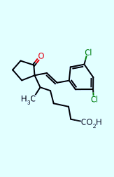 CC(CCCCC(=O)O)C1(/C=C/c2cc(Cl)cc(Cl)c2)CCCC1=O